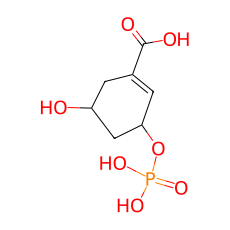 O=C(O)C1=CC(OP(=O)(O)O)CC(O)C1